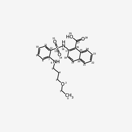 CCOCCCNc1ccccc1S(=O)(=O)Nc1ccc2ccccc2c1C(=O)O